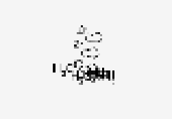 CC1=CCC(C2=C(C)C(C)=CC2)=C1C.Cl.Cl.Cl.Cl.[Zr][CH]1CCC2C=CC=CC12.[Zr][CH]1CCC2C=CC=CC12